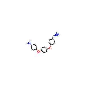 CNCc1ccc(Oc2ccc(Oc3ccc(N(C)C)cc3)cc2)cc1